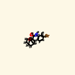 Cc1c(Br)cccc1N(C)C(=O)C12CC3CC(CC(C3)O1)C2